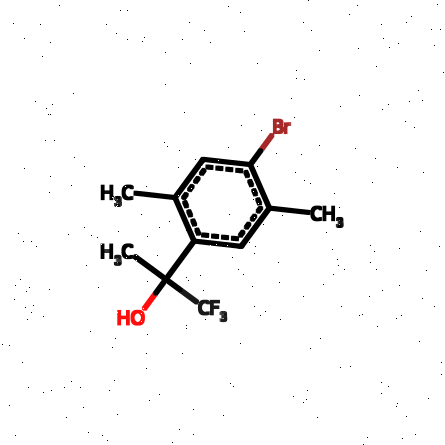 Cc1cc(C(C)(O)C(F)(F)F)c(C)cc1Br